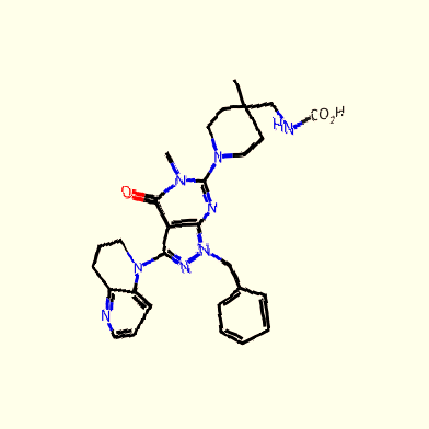 Cn1c(N2CCC(C)(CNC(=O)O)CC2)nc2c(c(N3CCCc4ncccc43)nn2Cc2ccccc2)c1=O